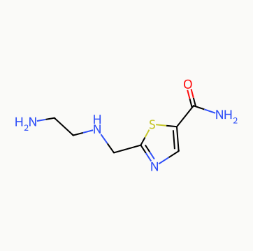 NCCNCc1ncc(C(N)=O)s1